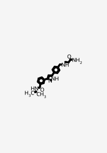 CC(C)NC(=O)c1cccc(-c2cc(-c3ccc(CNCCC(N)=O)cc3)[nH]n2)c1